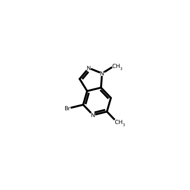 Cc1cc2c(cnn2C)c(Br)n1